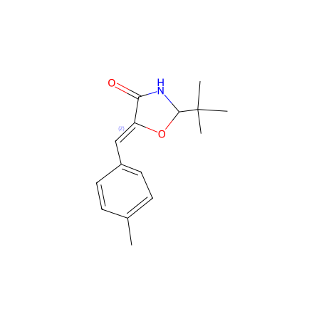 Cc1ccc(/C=C2\OC(C(C)(C)C)NC2=O)cc1